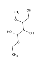 CCO[C@H](O)C(O)C(CO)OC